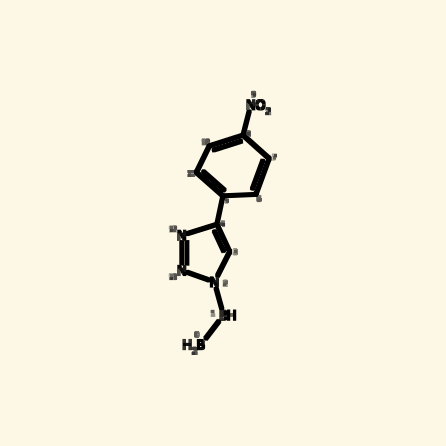 BBn1cc(-c2ccc([N+](=O)[O-])cc2)nn1